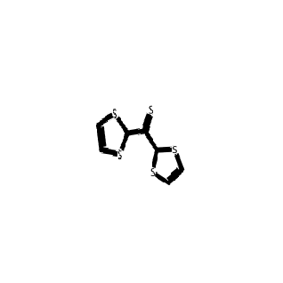 S=C(C1SC=CS1)C1SC=CS1